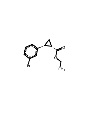 CCOC(=O)[C@H]1C[C@H]1c1cccc(Br)c1